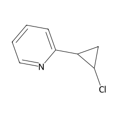 ClC1CC1c1ccccn1